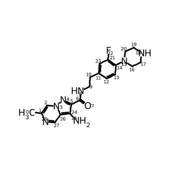 Cc1cn2nc(C(=O)NCCc3ccc(N4CCNCC4)c(F)c3)c(N)c2cn1